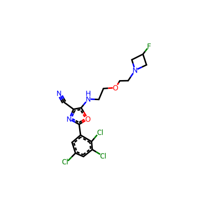 N#Cc1nc(-c2cc(Cl)cc(Cl)c2Cl)oc1NCCOCCN1CC(F)C1